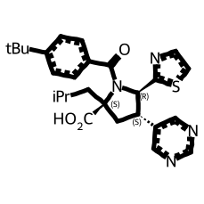 CC(C)C[C@@]1(C(=O)O)C[C@@H](c2cncnc2)[C@H](c2nccs2)N1C(=O)c1ccc(C(C)(C)C)cc1